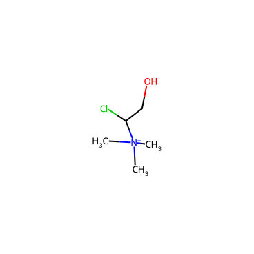 C[N+](C)(C)C(Cl)CO